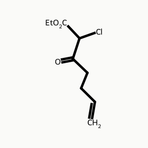 C=CCCC(=O)C(Cl)C(=O)OCC